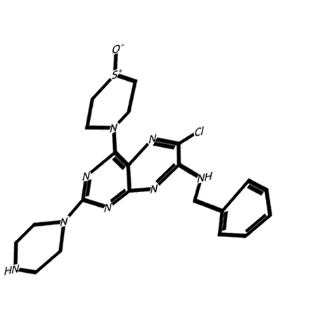 [O-][S+]1CCN(c2nc(N3CCNCC3)nc3nc(NCc4ccccc4)c(Cl)nc23)CC1